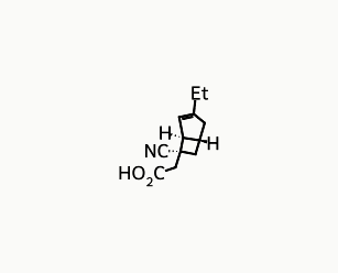 CCC1=C[C@H]2[C@H](C1)C[C@@]2(C#N)CC(=O)O